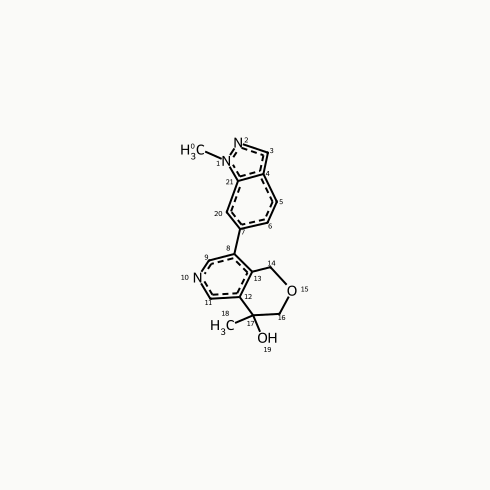 Cn1ncc2ccc(-c3cncc4c3COCC4(C)O)cc21